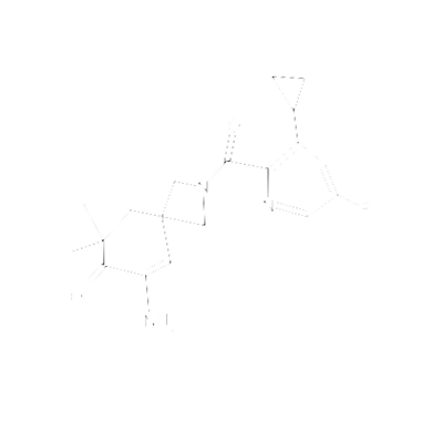 CC1(C)CC2(C=C(N)C1=O)CN(C(=O)c1ncc(F)cc1C1CC1)C2